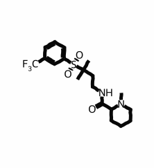 CN1CCCCC1C(=O)NCCC(C)(C)S(=O)(=O)c1cccc(C(F)(F)F)c1